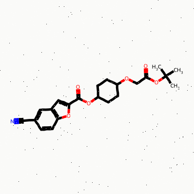 CC(C)(C)OC(=O)COC1CCC(OC(=O)c2cc3cc(C#N)ccc3o2)CC1